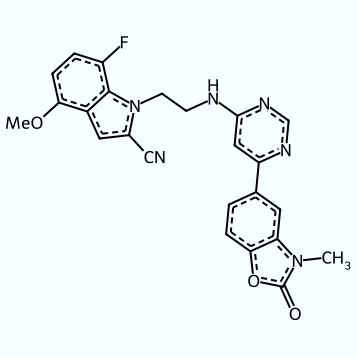 COc1ccc(F)c2c1cc(C#N)n2CCNc1cc(-c2ccc3oc(=O)n(C)c3c2)ncn1